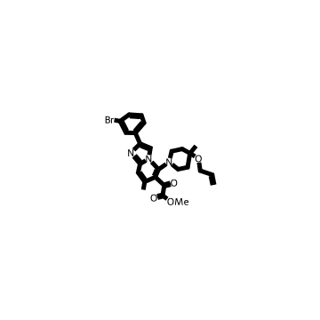 C=CCOC1(C)CCN(c2c(C(=O)C(=O)OC)c(C)cc3nc(-c4cccc(Br)c4)cn23)CC1